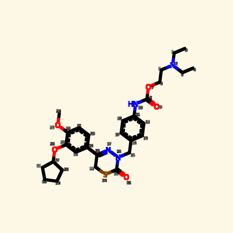 CCN(CC)CCOC(=O)Nc1ccc(CN2N=C(c3ccc(OC)c(OC4CCCC4)c3)CSC2=O)cc1